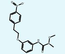 CON(C)C(=O)Nc1cccc(OCCc2ccc([N+](=O)[O-])cc2)c1